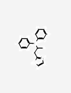 CC(Cc1ncco1)P(c1ccccc1)c1ccccc1